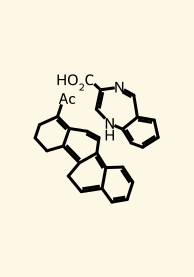 CC(=O)C1=c2ccc3c(c2CCC1)CC=c1ccccc1=3.O=C(O)C1=CNc2ccccc2C=N1